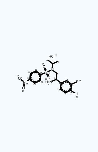 CC(C)N(CC(N)c1ccc(Cl)c(F)c1)S(=O)(=O)c1ccc([N+](=O)[O-])cc1.Cl